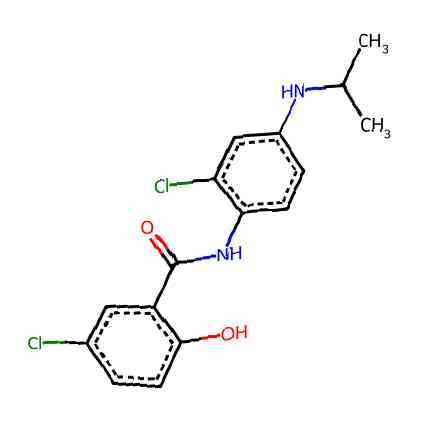 CC(C)Nc1ccc(NC(=O)c2cc(Cl)ccc2O)c(Cl)c1